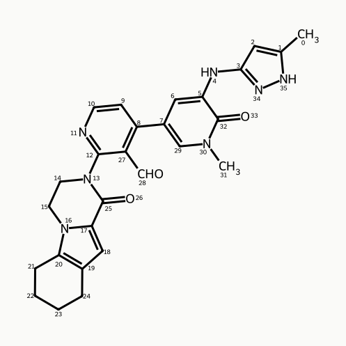 Cc1cc(Nc2cc(-c3ccnc(N4CCn5c(cc6c5CCCC6)C4=O)c3C=O)cn(C)c2=O)n[nH]1